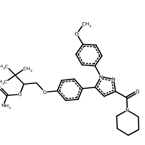 COc1ccc(-n2nc(C(=O)N3CCCCC3)cc2-c2ccc(OCC(OC(N)=O)C(C)(C)C)cc2)cc1